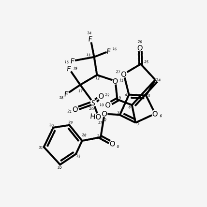 O=C(Oc1c2c3oc1c(C(=O)OC(C(F)(F)F)C(F)(F)S(=O)(=O)O)c3C(=O)O2)c1ccccc1